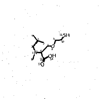 CC(C)CN(C)C(COCCS)C(=O)O